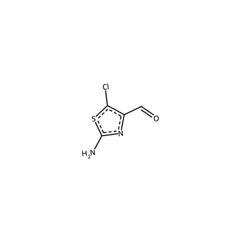 Nc1nc(C=O)c(Cl)s1